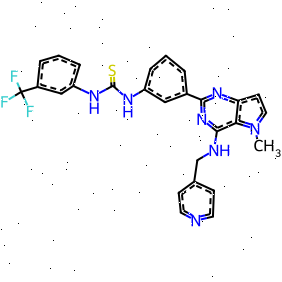 Cn1ccc2nc(-c3cccc(NC(=S)Nc4cccc(C(F)(F)F)c4)c3)nc(NCc3ccncc3)c21